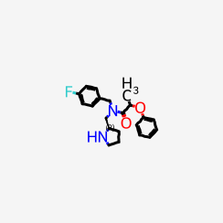 CC(Oc1ccccc1)C(=O)N(Cc1ccc(F)cc1)C[C@H]1CCCN1